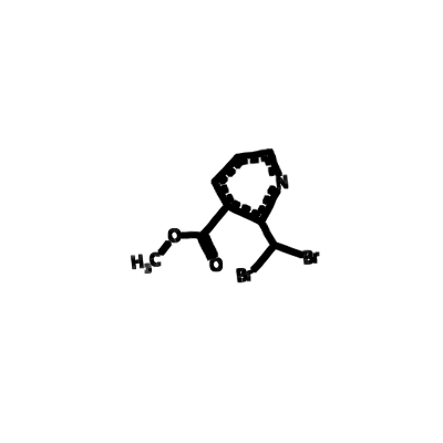 COC(=O)c1cccnc1C(Br)Br